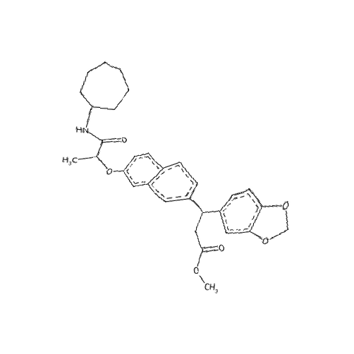 COC(=O)CC(c1ccc2c(c1)OCO2)c1ccc2ccc(OC(C)C(=O)NC3CCCCCC3)cc2c1